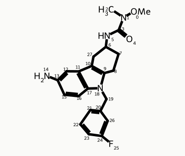 CON(C)C(=O)NC1CCc2c(c3cc(N)ccc3n2Cc2cccc(F)c2)C1